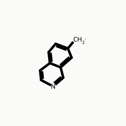 [CH2]c1ccc2ccncc2c1